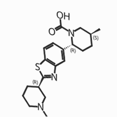 C[C@H]1CC[C@H](c2ccc3sc([C@@H]4CCCN(C)C4)nc3c2)N(C(=O)O)C1